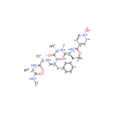 CCC[C@@H](C(=O)N[C@H](CN[C@@H](CC)C(=O)N[C@H](C(=O)NCC)C(C)C)Cc1ccccc1)N(C)C(=O)[C@H](CC(C)(C)C)NC(=O)C1=CCN(O)C=C1